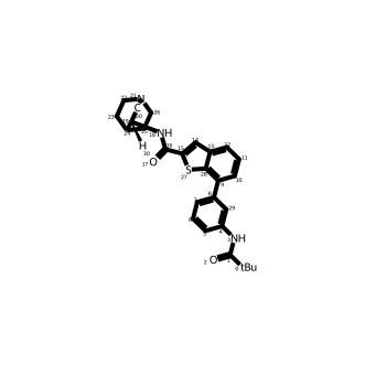 CC(C)(C)C(=O)Nc1cccc(-c2cccc3cc(C(=O)N[C@H]4CN5CCC4CC5)sc23)c1